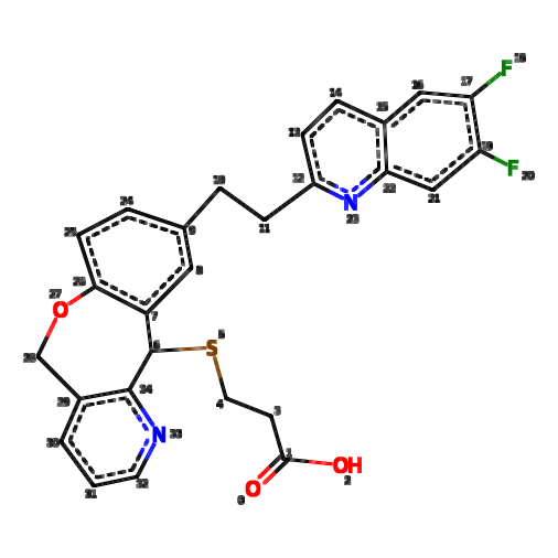 O=C(O)CCSC1c2cc(CCc3ccc4cc(F)c(F)cc4n3)ccc2OCc2cccnc21